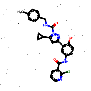 Cc1ccc(CNC(=O)n2nc(-c3cc(NC(=O)c4cccnc4Cl)ccc3O)cc2C2CC2)cc1